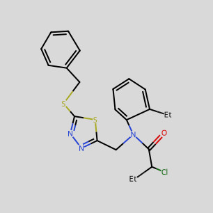 CCc1ccccc1N(Cc1nnc(SCc2ccccc2)s1)C(=O)C(Cl)CC